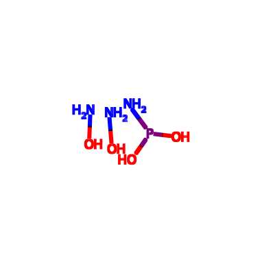 NO.NO.NP(O)O